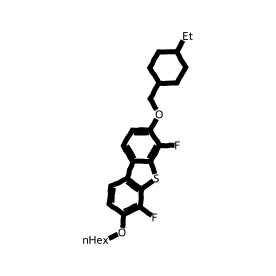 CCCCCCOc1ccc2c(sc3c(F)c(OCC4CCC(CC)CC4)ccc32)c1F